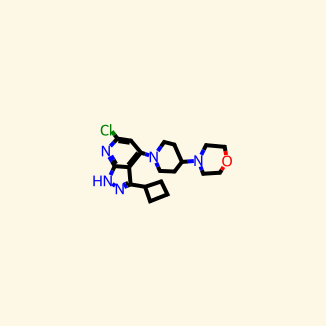 Clc1cc(N2CCC(N3CCOCC3)CC2)c2c(C3CCC3)n[nH]c2n1